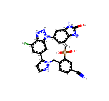 CS(=O)(=O)c1cc(C#N)ccc1Cn1nccc1-c1cc(F)c2nnn(-c3ccc4[nH]c(=O)[nH]c4c3)c2c1